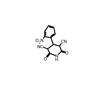 N#CC1C(=O)NC(=O)C(C#N)C1c1ccccc1[N+](=O)[O-]